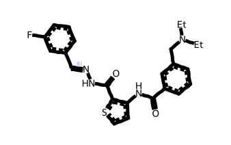 CCN(CC)Cc1cccc(C(=O)Nc2ccsc2C(=O)N/N=C/c2cccc(F)c2)c1